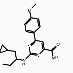 CCC(CC1CC1)Nc1nc(C(N)=O)cc(-c2ccc(OC)cc2)n1